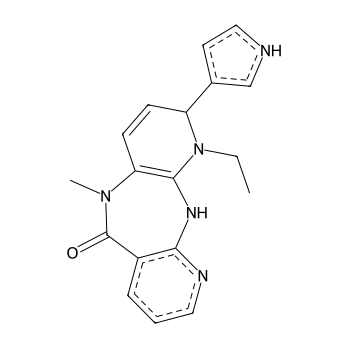 CCN1C2=C(C=CC1c1cc[nH]c1)N(C)C(=O)c1cccnc1N2